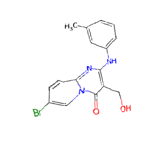 Cc1cccc(Nc2nc3ccc(Br)cn3c(=O)c2CO)c1